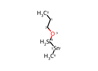 CCCO[SiH2][Sn][CH3]